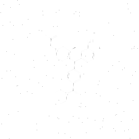 C=C(C)CN1C[C@@H](C)N(C(c2ccc(C(=O)N(CC)CC)cc2)c2cccc(O)c2)C[C@@H]1C